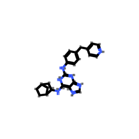 c1cc(Cc2ccc(Nc3nc4ncnc-4c(NC4CC5CCC4C5)[nH]3)cc2)ccn1